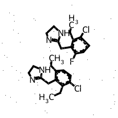 CCc1c(Cl)ccc(F)c1CC1=NCCN1.CCc1ccc(Cl)c(CC)c1CC1=NCCN1